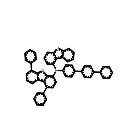 c1ccc(-c2ccc(-c3ccc(N(c4ccc(-c5ccccc5)c5c4oc4c(-c6ccccc6)cccc45)c4cccc5oc6ccccc6c45)cc3)cc2)cc1